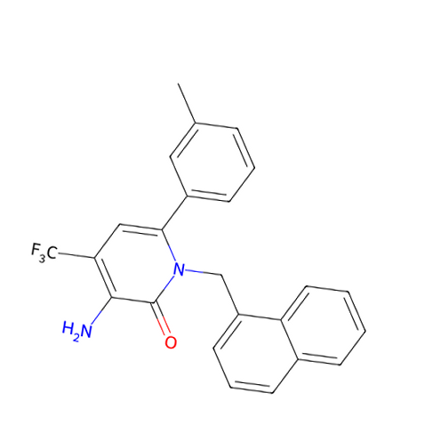 Cc1cccc(-c2cc(C(F)(F)F)c(N)c(=O)n2Cc2cccc3ccccc23)c1